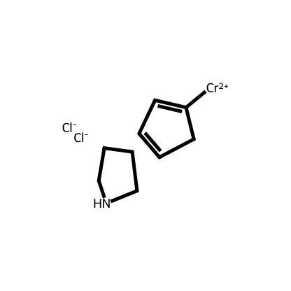 C1CCNC1.[Cl-].[Cl-].[Cr+2][C]1=CC=CC1